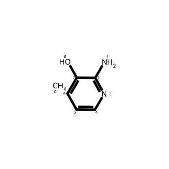 C.Nc1ncccc1O